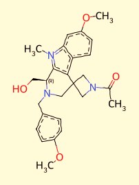 COc1ccc(CN2CC3(CN(C(C)=O)C3)c3c(n(C)c4cc(OC)ccc34)[C@@H]2CO)cc1